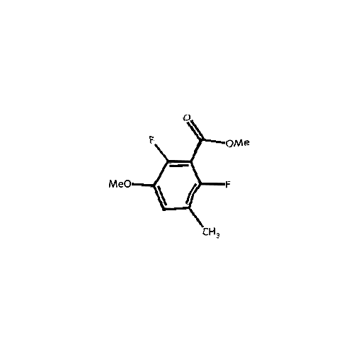 COC(=O)c1c(F)c(C)cc(OC)c1F